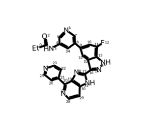 CCC(=O)Nc1cncc(-c2cc(F)c3[nH]nc(-c4nc5c(-c6ccncc6)nccc5[nH]4)c3c2)c1